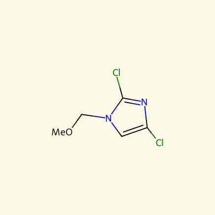 COCn1cc(Cl)nc1Cl